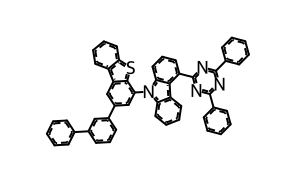 c1ccc(-c2cccc(-c3cc(-n4c5ccccc5c5c(-c6nc(-c7ccccc7)nc(-c7ccccc7)n6)cccc54)c4sc5ccccc5c4c3)c2)cc1